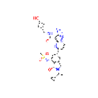 C[C@@H](C1CC1)N1Cc2cc(-c3ccn4nc(N)c(C(=O)NCC5CC(O)C5)c4n3)cc(NS(C)(=O)=O)c2C1=O